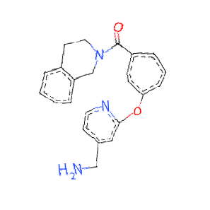 NCc1ccnc(Oc2cccc(C(=O)N3CCc4ccccc4C3)c2)c1